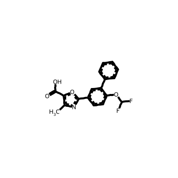 Cc1nc(-c2ccc(OC(F)F)c(-c3ccccc3)c2)oc1C(=O)O